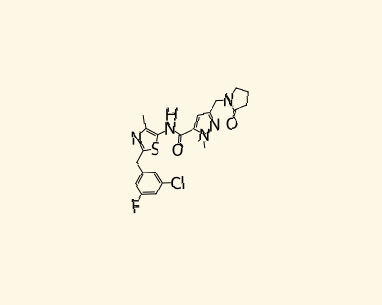 Cc1nc(Cc2cc(F)cc(Cl)c2)sc1NC(=O)c1cc(CN2CCCC2=O)nn1C